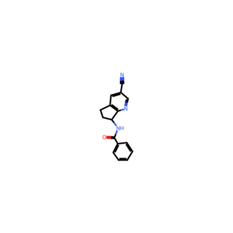 N#Cc1cnc2c(c1)CCC2NC(=O)c1ccccc1